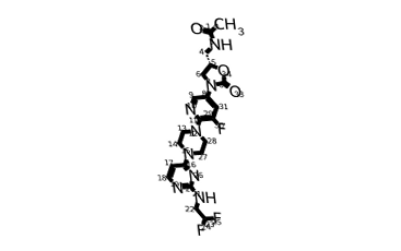 CC(=O)NC[C@H]1CN(c2cnc(N3CCN(c4ccnc(NCC(F)F)n4)CC3)c(F)c2)C(=O)O1